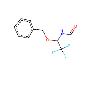 O=CNC(OCc1ccccc1)C(F)(F)F